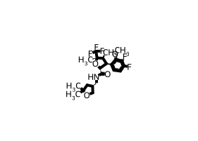 COc1c([C@H]2[C@H](C(=O)NC[C@@H]3COC(C)(C)C3)O[C@@](C)(C(F)(F)F)[C@H]2C)ccc(F)c1F